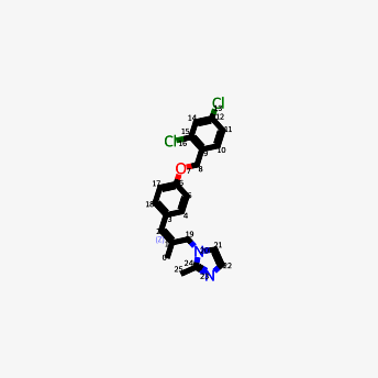 C/C(=C/c1ccc(OCc2ccc(Cl)cc2Cl)cc1)Cn1ccnc1C